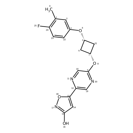 Cc1cc(O[C@H]2C[C@@H](Oc3cnc(-c4cc(O)no4)cn3)C2)ccc1F